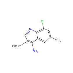 CCOC(=O)c1cnc2c(Cl)cc(C)cc2c1N